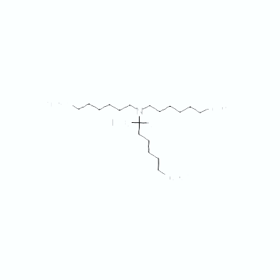 CCCCCCCCCCCCCCCCN(CCCCCCCCCCCCCCCC)C(C)(C)CCCCCCCCCCCCCCC